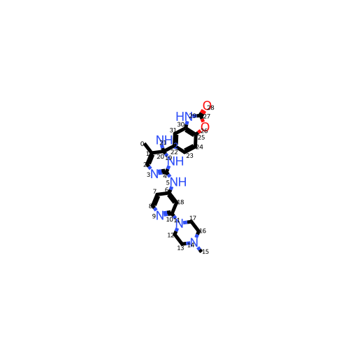 CC1=CN=C(Nc2ccnc(N3CCN(C)CC3)c2)NC1(N)c1ccc2oc(=O)[nH]c2c1